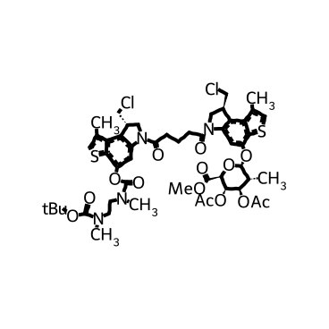 COC(=O)[C@H]1O[C@@H](Oc2cc3c(c4c(C)csc24)[C@H](CCl)CN3C(=O)CCCC(=O)N2C[C@@H](CCl)c3c2cc(OC(=O)N(C)CCN(C)C(=O)OC(C)(C)C)c2scc(C)c32)[C@H](C)[C@@H](OC(C)=O)[C@@H]1OC(C)=O